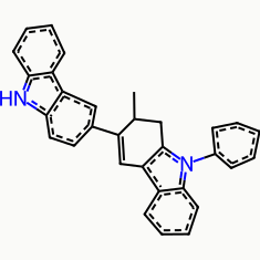 CC1Cc2c(c3ccccc3n2-c2ccccc2)C=C1c1ccc2[nH]c3ccccc3c2c1